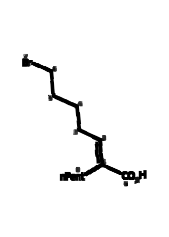 CCCCC/C(=C\CCCCBr)C(=O)O